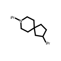 CC(C)C1CCC2(CCN(C(C)C)CC2)C1